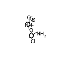 Cn1c([N+](=O)[O-])cnc1COc1ccc(Cl)cc1CN